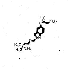 COC[C@@H](C)Oc1ccc2nn(COCC[Si](C)(C)C)cc2c1